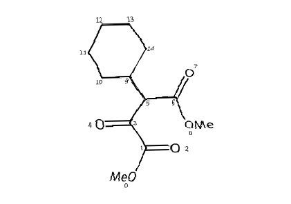 COC(=O)C(=O)C(C(=O)OC)C1CCCCC1